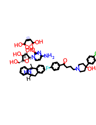 C[C@]12N[C@H](Cc3ccccc31)c1ccccc12.Nc1ccn([C@@H]2O[C@H](CO)[C@@H](O)[C@@H]2O)c(=O)n1.O=C(CCCN1CCC(O)(c2ccc(Cl)cc2)CC1)c1ccc(F)cc1.O=C(O)/C=C\C(=O)O